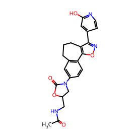 CC(=O)NCC1CN(c2ccc3c(c2)CCCc2c(-c4ccnc(O)c4)noc2-3)C(=O)O1